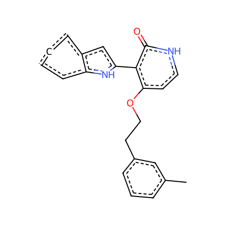 Cc1cccc(CCOc2cc[nH]c(=O)c2-c2cc3ccccc3[nH]2)c1